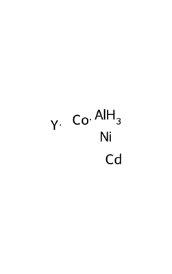 [AlH3].[Cd].[Co].[Ni].[Y]